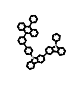 c1ccc(-c2c3ccccc3c(-c3cccc(-c4ccc(-n5c6ccccc6c6ccc(-c7ccc8c(c7)c7ccccc7n8-c7ccccc7)cc65)cc4)c3)c3ccccc23)cc1